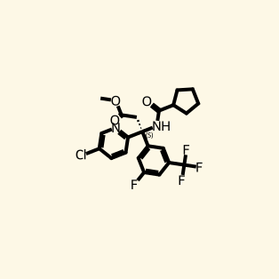 COC(=O)C[C@](NC(=O)C1CCCC1)(c1cc(F)cc(C(F)(F)F)c1)c1ccc(Cl)cn1